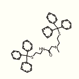 CN(CCSC(c1ccccc1)(c1ccccc1)c1ccccc1)CC(=O)NCCSC(c1ccccc1)(c1ccccc1)c1ccccc1